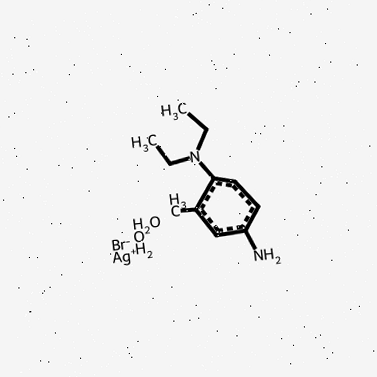 CCN(CC)c1ccc(N)cc1C.O.O.[Ag+].[Br-]